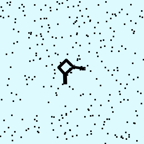 C=C1CCN1C(C)=O